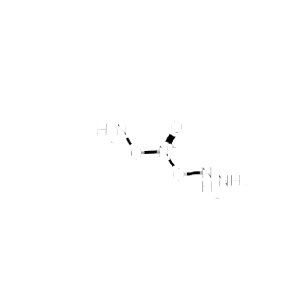 N.NO[N+](=O)ON